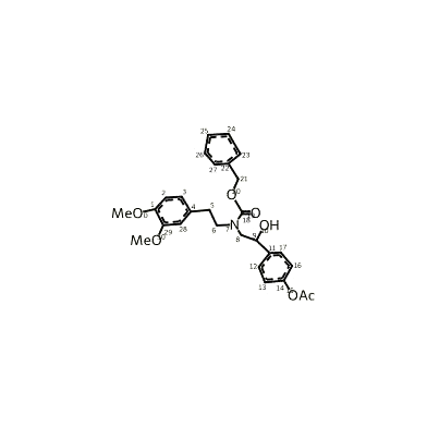 COc1ccc(CCN(CC(O)c2ccc(OC(C)=O)cc2)C(=O)OCc2ccccc2)cc1OC